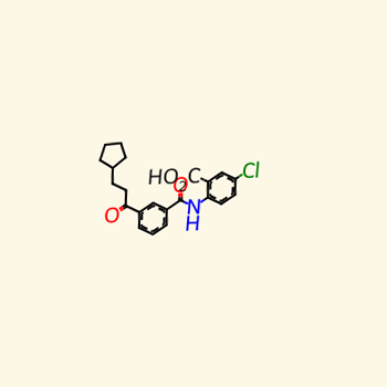 O=C(CCC1CCCC1)c1cccc(C(=O)Nc2ccc(Cl)cc2C(=O)O)c1